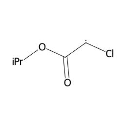 CC(C)OC(=O)[CH]Cl